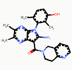 Cc1ccc(O)c(C)c1-n1c(N)c(C(=O)N2CCc3ncccc3C2)c2nc(C)c(C)nc21